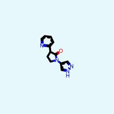 O=C1C(c2ccccn2)CCN1c1cn[nH]c1